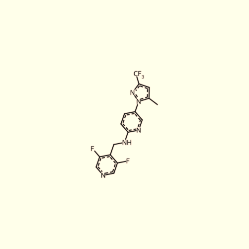 Cc1cc(C(F)(F)F)nn1-c1ccc(NCc2c(F)cncc2F)nc1